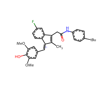 COc1cc(/C=C2/C(C)=C(CC(=O)Nc3ccc(C(C)(C)C)cc3)c3cc(F)ccc32)cc(OC)c1O